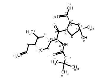 C=CCCC(C)C[C@@H](CC)[C@H](NC(=O)OC(C)(C)C)C(=O)N1C[C@](C)(O)C[C@H]1C(=O)O